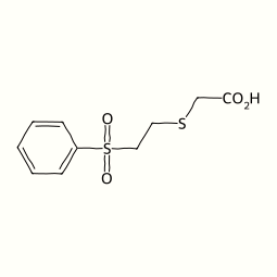 O=C(O)CSCCS(=O)(=O)c1ccccc1